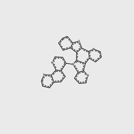 c1cnc2c(c1)ccc1c(-n3c4cccnc4c4c5cccnc5c5sc6ccccc6c5c43)ccnc12